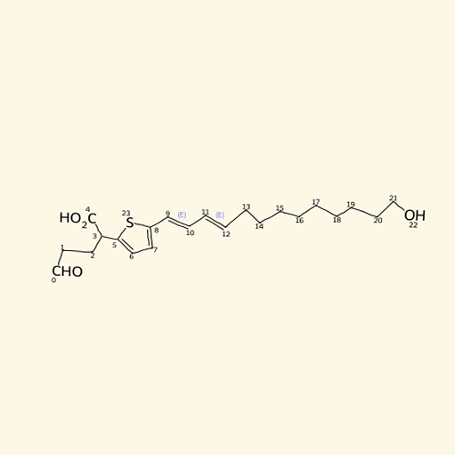 O=CCCC(C(=O)O)c1ccc(/C=C/C=C/CCCCCCCCCO)s1